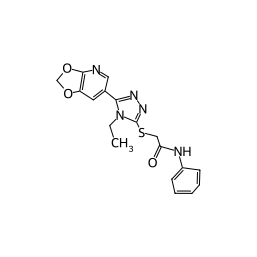 CCn1c(SCC(=O)Nc2ccccc2)nnc1-c1cnc2c(c1)OCO2